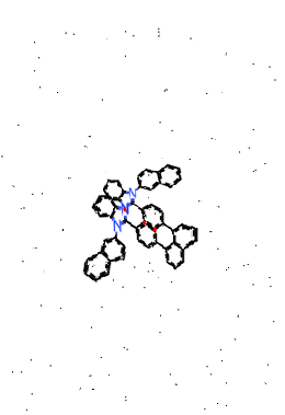 c1ccc2cc(-n3c(-c4ccc(-c5cccc6cccc(-c7ccc(-c8nc9ccccc9n8-c8ccc9ccccc9c8)cc7)c56)cc4)nc4ccccc43)ccc2c1